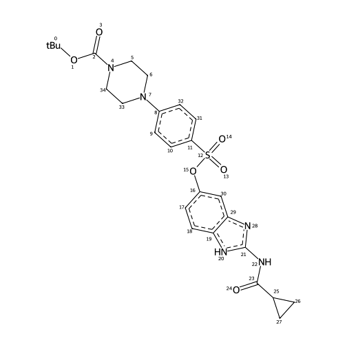 CC(C)(C)OC(=O)N1CCN(c2ccc(S(=O)(=O)Oc3ccc4[nH]c(NC(=O)C5CC5)nc4c3)cc2)CC1